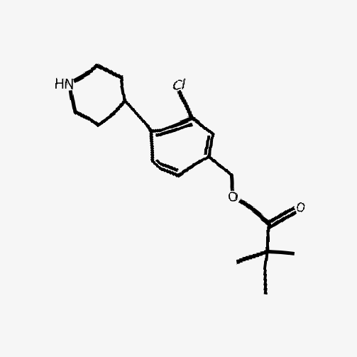 CC(C)(C)C(=O)OCc1ccc(C2CCNCC2)c(Cl)c1